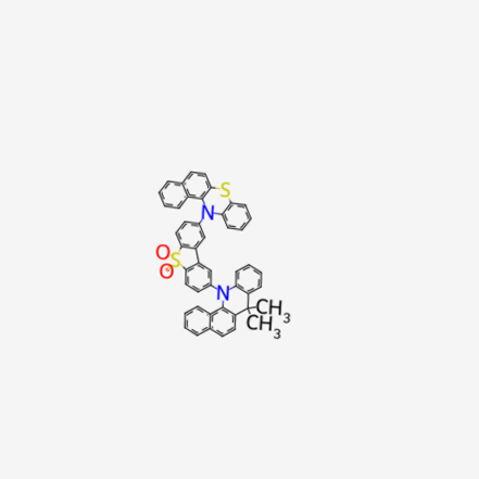 CC1(C)c2ccccc2N(c2ccc3c(c2)-c2cc(N4c5ccccc5Sc5ccc6ccccc6c54)ccc2S3(=O)=O)c2c1ccc1ccccc21